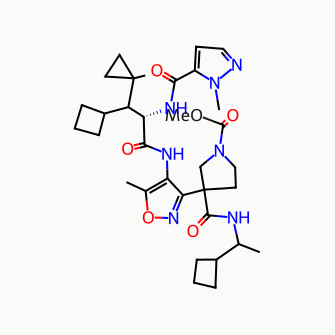 COC(=O)N1CCC(C(=O)NC(C)C2CCC2)(c2noc(C)c2NC(=O)[C@@H](NC(=O)c2ccnn2C)C(C2CCC2)C2(C)CC2)C1